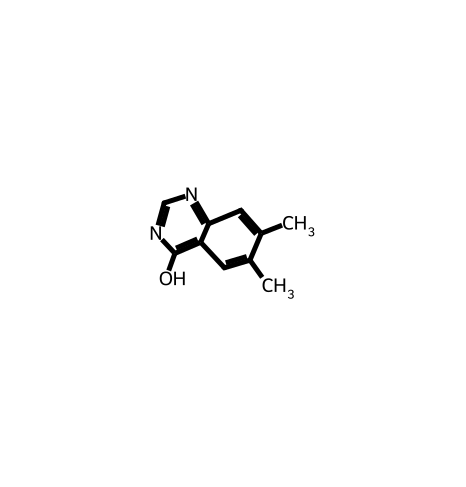 Cc1cc2ncnc(O)c2cc1C